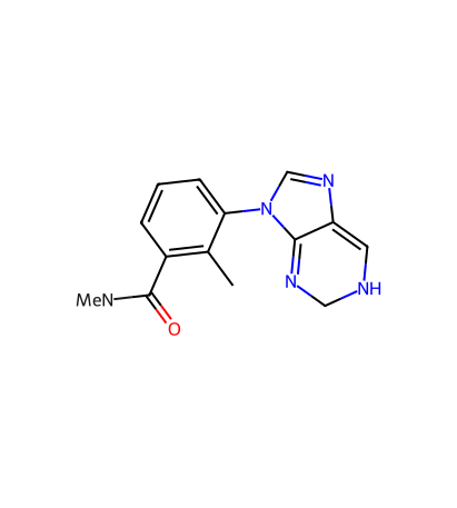 CNC(=O)c1cccc(-n2cnc3c2=NCNC=3)c1C